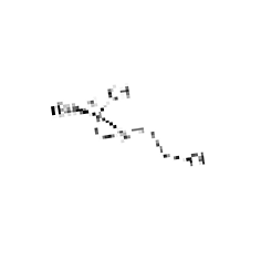 CC(C)(C)[C@]1(C)C[C@H]1CCO